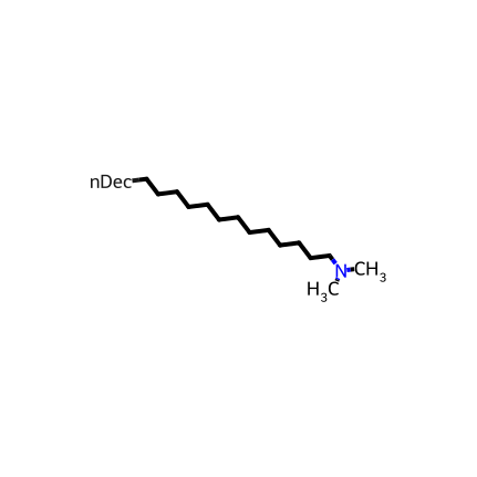 [CH2]CCCCCCCCCCCCCCCCCCCCCCN(C)C